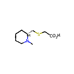 CN1CCCC[C@@H]1CSCC(=O)O